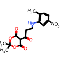 Cc1ccc([N+](=O)[O-])cc1NCCC(=O)C1C(=O)OC(C)(C)OC1=O